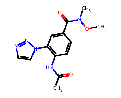 CON(C)C(=O)c1ccc(NC(C)=O)c(-n2ccnn2)c1